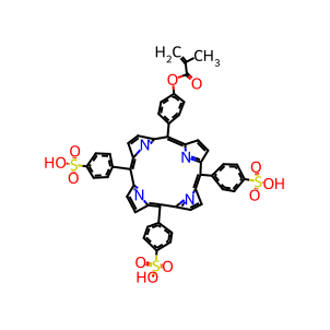 C=C(C)C(=O)Oc1ccc(C2=C3C=CC(=N3)C(c3ccc(S(=O)(=O)O)cc3)=C3C=CC(=N3)C(c3ccc(S(=O)(=O)O)cc3)=C3C=CC(=N3)C(c3ccc(S(=O)(=O)O)cc3)=C3C=CC2=N3)cc1